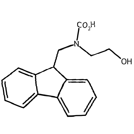 O=C(O)N(CCO)CC1c2ccccc2-c2ccccc21